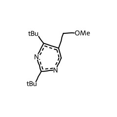 COCc1cnc(C(C)(C)C)nc1C(C)(C)C